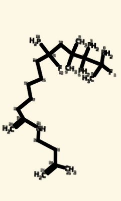 BC(C)(F)C(P)(P)C(C)(C)CC(F)(P)CCCCCC(=C)NCCC(=C)C